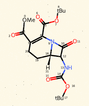 COC(=O)C1=C(C(=O)OC(C)(C)C)N2C(=O)C(NC(=O)OC(C)(C)C)[C@@H]2CC1